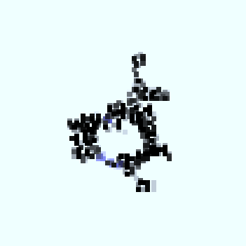 CO[C@@H]1C[C@H](CC(C)C2CC(=O)[C@H](C)/C=C(\C)[C@@H](O)[C@@H](OC)C(=O)[C@H](C)C[C@H](C)/C=C/C=C/C=C(\C)C(OCCCO)CC3CC[C@@H](C)[C@@](O)(O3)C(=O)C(=O)N3CCCC[C@H]3C(=O)O2)CC[C@H]1OCCCc1ccccc1